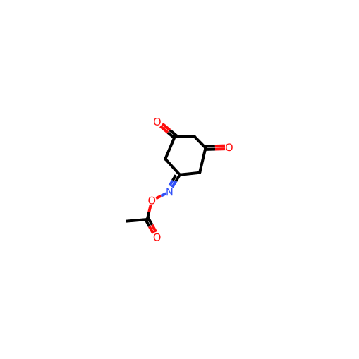 CC(=O)ON=C1CC(=O)CC(=O)C1